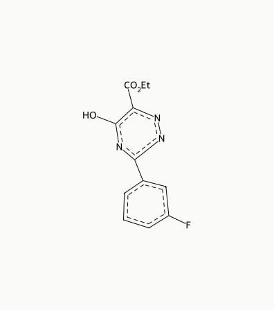 CCOC(=O)c1nnc(-c2cccc(F)c2)nc1O